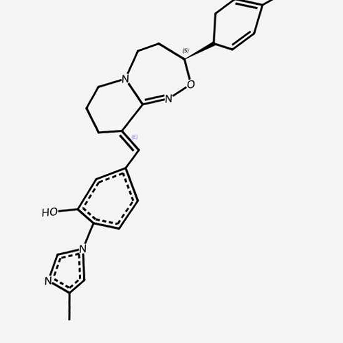 Cc1cn(-c2ccc(/C=C3\CCCN4CC[C@@H](C5C=CC(F)=CC5)ON=C34)cc2O)cn1